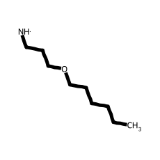 CCCCCCOCCC[NH]